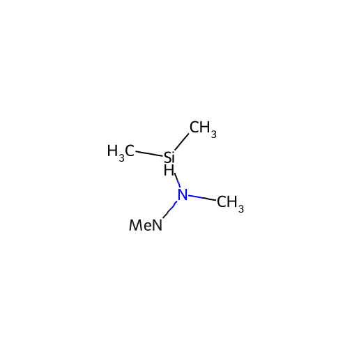 CNN(C)[SiH](C)C